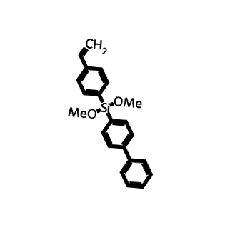 C=Cc1ccc([Si](OC)(OC)c2ccc(-c3ccccc3)cc2)cc1